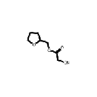 N#CCC(=O)OCC1CCCO1